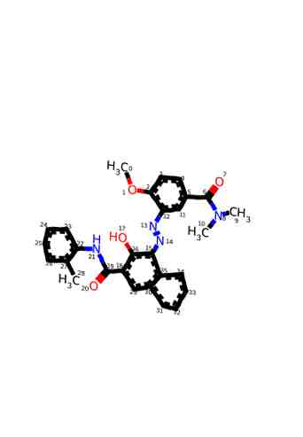 COc1ccc(C(=O)N(C)C)cc1/N=N/c1c(O)c(C(=O)Nc2ccccc2C)cc2ccccc12